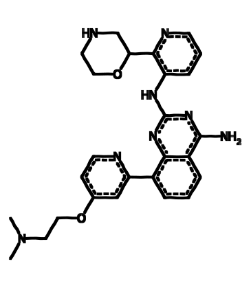 CN(C)CCOc1ccnc(-c2cccc3c(N)nc(Nc4cccnc4C4CNCCO4)nc23)c1